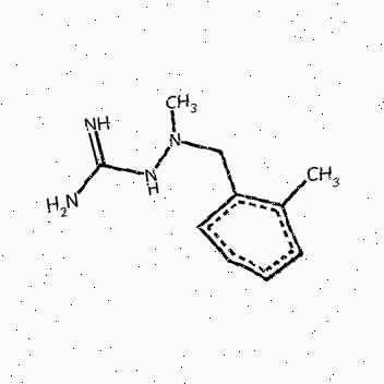 Cc1ccccc1CN(C)NC(=N)N